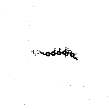 CCCCCc1ccc(-c2ccc(-c3ccc(-c4cc(F)c(C(F)(F)Oc5ccc(/C=C/F)c(F)c5)c(F)c4)c(F)c3)c(F)c2)cc1